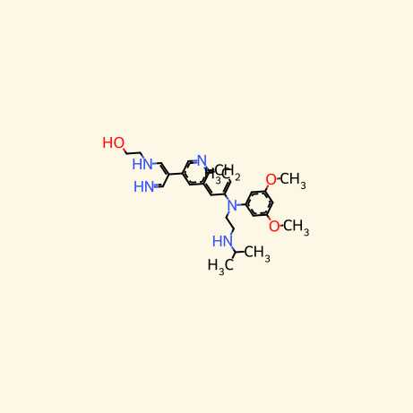 C=c1ncc(/C(C=N)=C/NCCO)c/c1=C/C(=C\C)N(CCNC(C)C)c1cc(OC)cc(OC)c1